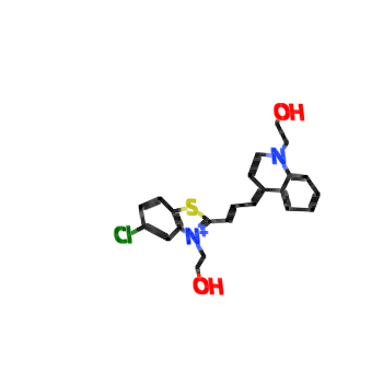 OCCN1C=C/C(=C\C=C\c2sc3ccc(Cl)cc3[n+]2CCO)c2ccccc21